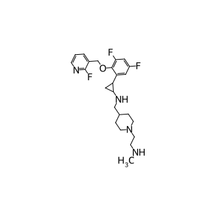 CNCCN1CCC(CNC2CC2c2cc(F)cc(F)c2OCc2cccnc2F)CC1